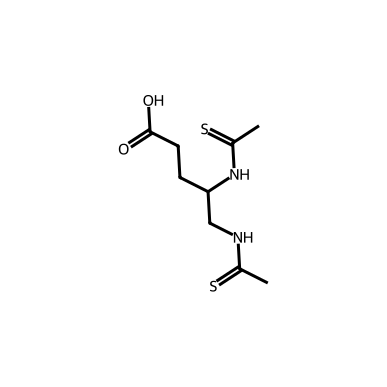 CC(=S)NCC(CCC(=O)O)NC(C)=S